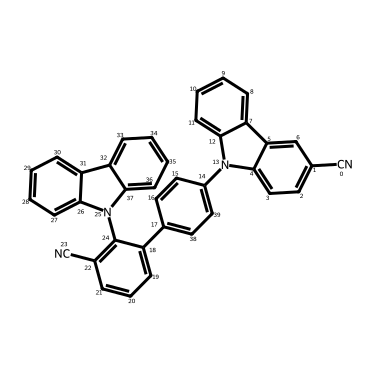 N#Cc1ccc2c(c1)c1ccccc1n2-c1ccc(-c2cccc(C#N)c2-n2c3ccccc3c3ccccc32)cc1